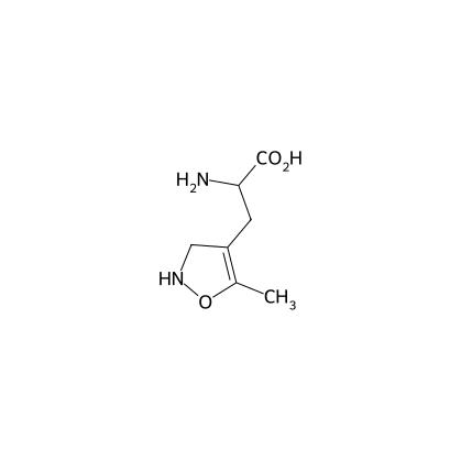 CC1=C(CC(N)C(=O)O)CNO1